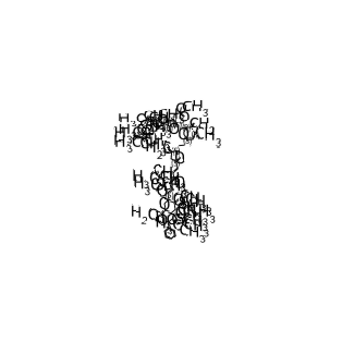 C=CCC1OC([C@H](C=CC(=O)CC[C@H]2CC(=C)[C@H](CC[C@H]3C[C@@H](C)C(=C)[C@@H](C[C@@H]4O[C@H](CC(CO[Si](C)(C)C(C)(C)C)O[Si](C)(C)C(C)(C)C)[C@H](OC)[C@H]4CC(=O)OC)O3)O2)O[Si](C)(C)C(C)(C)C)C(O[Si](C)(C)C(C)(C)C)C(O[Si](C)(C)C(C)(C)C)C1OC(=O)c1ccccc1